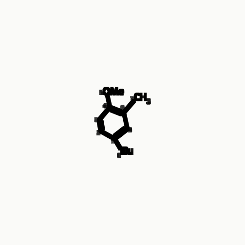 CCC(C)c1ccc(OC)c(C)c1